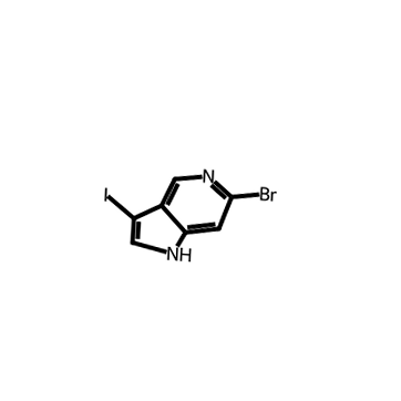 Brc1cc2[nH]cc(I)c2cn1